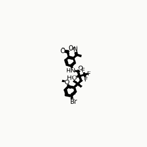 COc1ccc(Br)cc1C(C)(C)CC(O)(C(=O)Nc1ccc2c(=O)onc(C)c2c1)C(F)(F)F